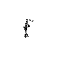 COCCOc1cncc(-n2cc(C#Cc3ccnc(C)c3)nc2C)n1